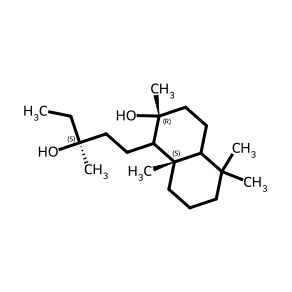 CC[C@](C)(O)CCC1[C@@]2(C)CCCC(C)(C)C2CC[C@@]1(C)O